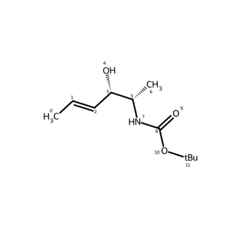 C/C=C/[C@H](O)[C@H](C)NC(=O)OC(C)(C)C